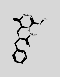 COC(=O)C(C[C@H](Cc1ccccc1)C(=O)OC)NC(=O)OC(C)(C)C